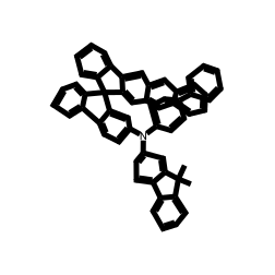 CC1(C)c2ccccc2-c2ccc(N(c3ccc(-c4ccccc4)cc3)c3ccc4c(c3)C3(c5ccccc5-4)c4ccccc4-c4cc5cc6ccccc6cc5cc43)cc21